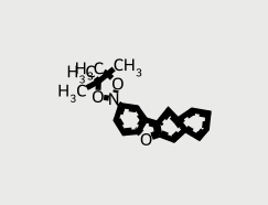 CC1(C)ON(c2ccc3oc4cc5ccccc5cc4c3c2)OC1(C)C